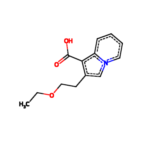 CCOCCc1cn2ccccc2c1C(=O)O